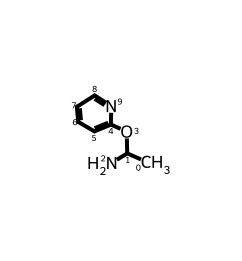 CC(N)Oc1ccccn1